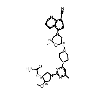 CO[C@@H]1CN(c2nc(C)cc(N3CCN(C[C@H]4CN(c5ccc(C#N)c6ncccc56)C[C@@H](C)O4)CC3)n2)C[C@H]1OC(N)=O